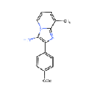 COc1ccc(-c2nc3c(C)cccn3c2N)cc1